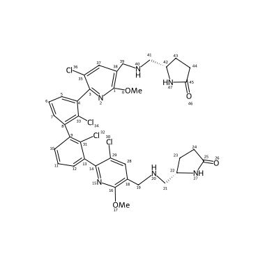 COc1nc(-c2cccc(-c3cccc(-c4nc(OC)c(CNC[C@@H]5CCC(=O)N5)cc4Cl)c3Cl)c2Cl)c(Cl)cc1CNC[C@@H]1CCC(=O)N1